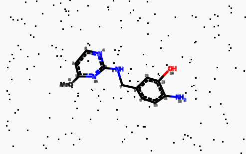 COc1ccnc(NCc2ccc(N)c(O)c2)n1